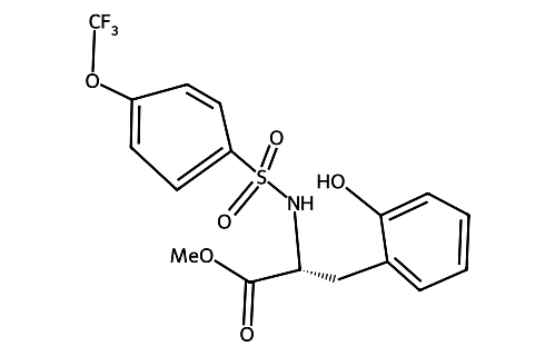 COC(=O)[C@@H](Cc1ccccc1O)NS(=O)(=O)c1ccc(OC(F)(F)F)cc1